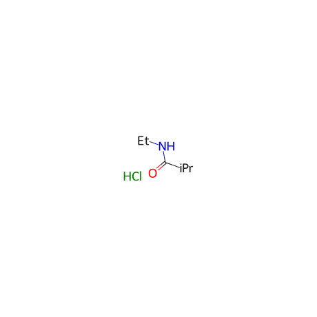 CCNC(=O)C(C)C.Cl